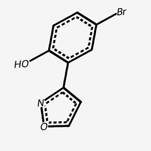 Oc1ccc(Br)cc1-c1ccon1